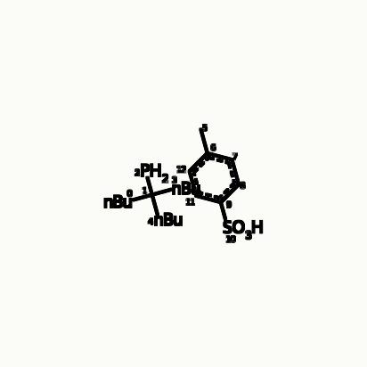 CCCCC(P)(CCCC)CCCC.Cc1ccc(S(=O)(=O)O)cc1